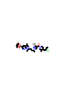 C=C/C(Cl)=C\C1=C(C)CN(C(=O)c2cn(C(C)CCC3C(C)[N+]34C=C(C)c3cc(B5OC(C)(C)C(C)(C)O5)cnc34)nc2C(F)(F)F)CC1